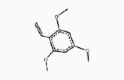 C=Cc1c(OC)cc(OC)cc1OC